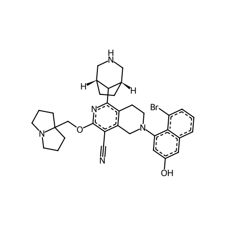 N#Cc1c(OCC23CCCN2CCC3)nc(C2[C@@H]3CC[C@H]2CNC3)c2c1CN(c1cc(O)cc3cccc(Br)c13)CC2